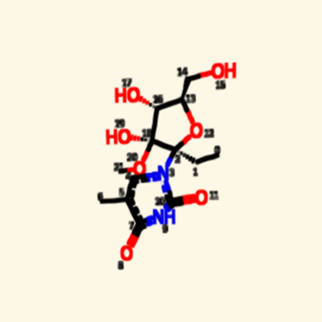 CC[C@@]1(n2cc(C)c(=O)[nH]c2=O)O[C@H](CO)[C@@H](O)[C@]1(O)OC